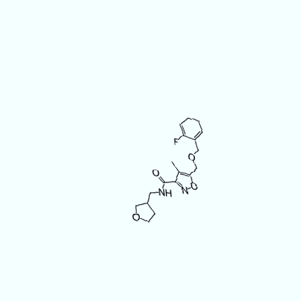 Cc1c(C(=O)NCC2CCOC2)noc1COCC1=CCCC=C1F